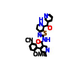 COc1ccc(C#N)cc1-c1cc(C)ncc1C(=O)Nc1nc2c(s1)C(C(=O)c1cccnc1)NCC2